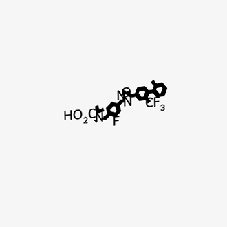 Cc1ccccc1-c1ccc(-c2nc(-c3ccc(CN(C)C(C)(C)C(=O)O)c(F)c3)no2)cc1C(F)(F)F